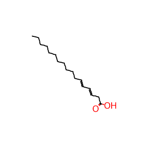 CCCCCCCCCCCC=CC=CCC(=O)O